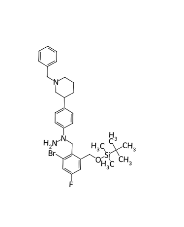 CC(C)(C)[Si](C)(C)OCc1cc(F)cc(Br)c1CN(N)c1ccc(C2CCCN(Cc3ccccc3)C2)cc1